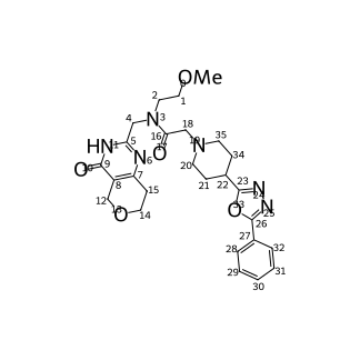 COCCN(Cc1nc2c(c(=O)[nH]1)COCC2)C(=O)CN1CCC(c2nnc(-c3ccccc3)o2)CC1